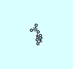 N#Cc1ccccc1-c1ccc2c(c1)C1(c3ccccc3Oc3ccccc31)c1cc(-c3cccc(-c4nc(-c5ccccc5)nc(-c5ccccc5)n4)c3)ccc1-2